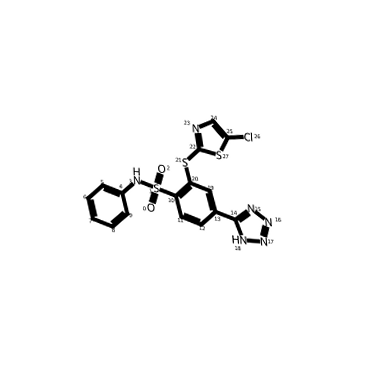 O=S(=O)(Nc1ccccc1)c1ccc(-c2nnn[nH]2)cc1Sc1ncc(Cl)s1